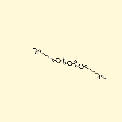 C=COC(=O)CCCCCCOc1ccc(OC(=O)c2ccc(OC(=O)c3ccc(OCCCCCCOC(=O)C=C)cc3)cc2)cc1